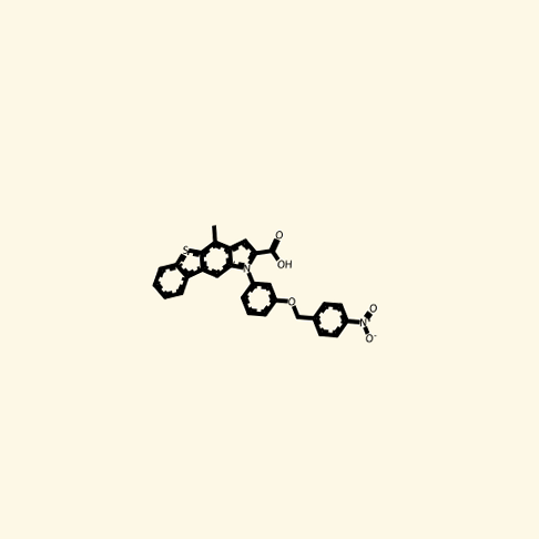 Cc1c2cc(C(=O)O)n(-c3cccc(OCc4ccc([N+](=O)[O-])cc4)c3)c2cc2c1sc1ccccc12